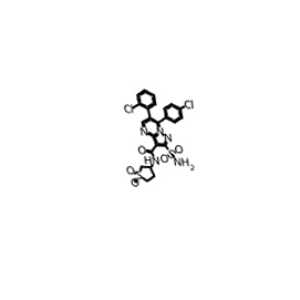 NS(=O)(=O)c1nn2c(-c3ccc(Cl)cc3)c(-c3ccccc3Cl)cnc2c1C(=O)NC1CCS(=O)(=O)C1